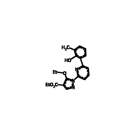 CCOC(=O)c1cnn(-c2cccc(-c3cccc(C)c3O)n2)c1OCC